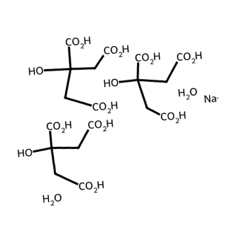 O.O.O=C(O)CC(O)(CC(=O)O)C(=O)O.O=C(O)CC(O)(CC(=O)O)C(=O)O.O=C(O)CC(O)(CC(=O)O)C(=O)O.[Na]